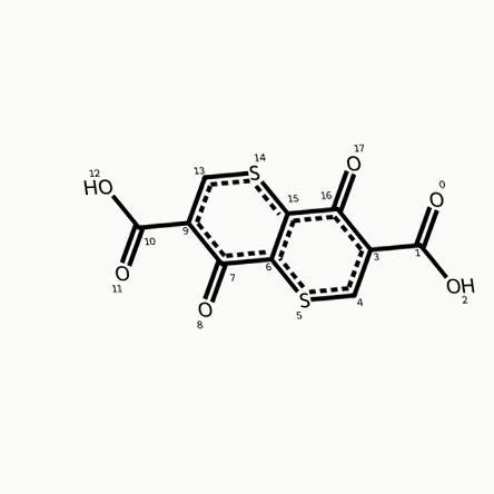 O=C(O)c1csc2c(=O)c(C(=O)O)csc2c1=O